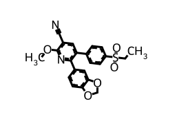 CCS(=O)(=O)c1ccc(-c2cc(C#N)c(OC)nc2-c2ccc3c(c2)OCO3)cc1